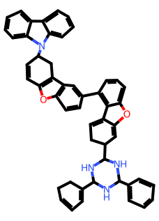 C1=CCCC(C2NC(c3ccccc3)NC(C3C=c4oc5cccc(-c6ccc7oc8c(c7c6)CC(n6c7ccccc7c7ccccc76)C=C8)c5c4=CC3)N2)=C1